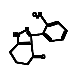 O=C1CCCc2[nH]nc(-c3ccccc3[N+](=O)[O-])c21